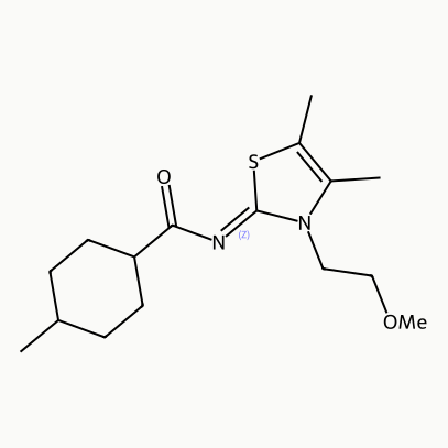 COCCn1c(C)c(C)s/c1=N\C(=O)C1CCC(C)CC1